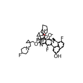 C#Cc1c(F)ccc2cc(O)cc(-c3nc(OC)c4c(N5CC6CCC(C5)N6C(=O)C5(C(F)(F)F)CC5)nc(OCC5(CN6CCC(F)CC6)CC5)nc4c3F)c12